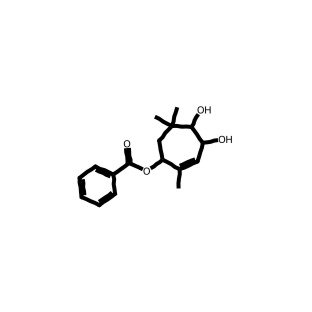 CC1=CC(O)C(O)C(C)(C)CC1OC(=O)c1ccccc1